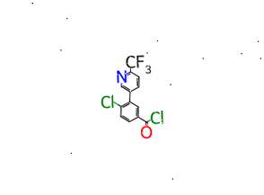 O=C(Cl)c1ccc(Cl)c(-c2ccc(C(F)(F)F)nc2)c1